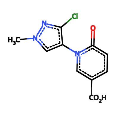 Cn1cc(-n2cc(C(=O)O)ccc2=O)c(Cl)n1